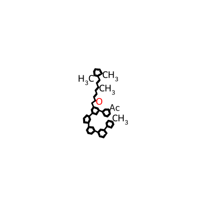 CC(=O)c1cccc(-c2cc(CC(=O)/C=C/C=C(C)/C=C/c3c(C)cccc3C)cc(-c3cccc(-c4cccc(-c5cccc(-c6ccc(C)cc6)c5)c4)c3)c2)c1